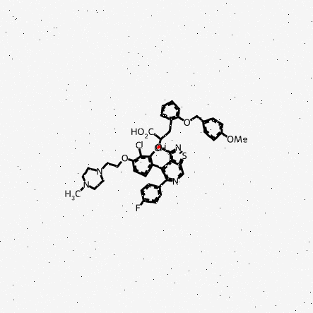 COc1ccc(COc2ccccc2CC(Oc2nsc3cnc(-c4ccc(F)cc4)c(-c4ccc(OCCN5CCN(C)CC5)c(Cl)c4C)c23)C(=O)O)cc1